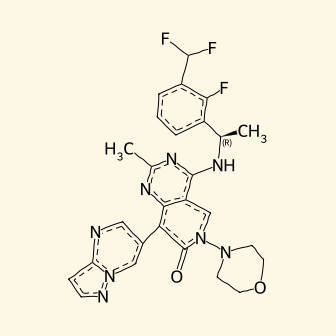 Cc1nc(N[C@H](C)c2cccc(C(F)F)c2F)c2cn(N3CCOCC3)c(=O)c(-c3cnc4ccnn4c3)c2n1